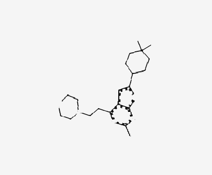 Cc1nc(CCN2CCOCC2)c2cc(C3CCC(C)(C)CC3)sc2n1